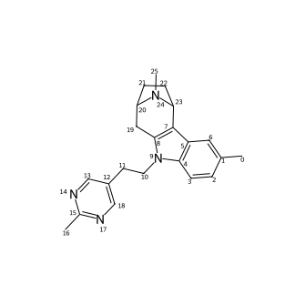 Cc1ccc2c(c1)c1c(n2CCc2cnc(C)nc2)CC2CCC1N2C